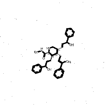 CCNC(=O)[C@H]1NC[C@H](CCC(O)c2ccccc2)[C@H](CCC(O)c2ccccc2)[C@H]1CCC(O)c1ccccc1